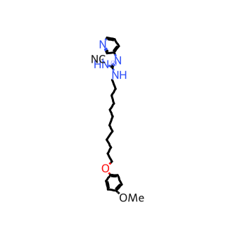 COc1ccc(OCCCCCCCCCCCCN/C(=N/c2cccnc2)NC#N)cc1